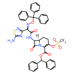 Nc1nc(/C(=N/OC(c2ccccc2)(c2ccccc2)c2ccccc2)C(=O)N[C@@H]2C(=O)N3C(C(=O)OC(c4ccccc4)c4ccccc4)=C(OS(=O)(=O)C(F)(F)F)CC[C@H]23)ns1